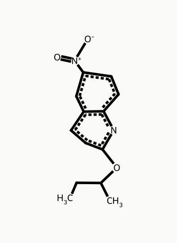 CCC(C)Oc1ccc2cc([N+](=O)[O-])ccc2n1